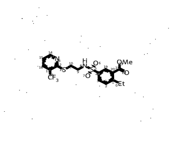 CCc1ccc(S(=O)(=O)NCCSc2ncccc2C(F)(F)F)cc1C(=O)OC